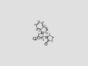 CC[N+]1(CN2CCCC2=O)CSc2ccccc21.[Cl-]